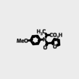 COc1ccc(N(C(=O)c2ccco2)C(C)C(=O)O)cc1